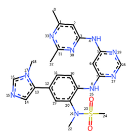 Cc1cc(Nc2cc(Nc3ccc(-c4cncn4C)cc3N(C)S(C)(=O)=O)ncn2)nc(C)n1